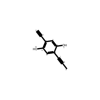 C#Cc1cc(O)c(C#CC)cc1O